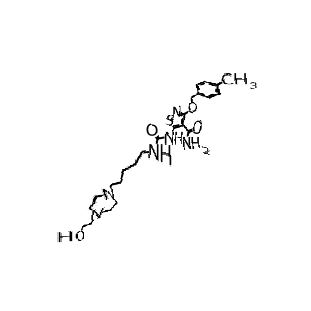 Cc1ccc(COc2nsc(NC(=O)NCCCCCN3CCN(CCO)CC3)c2C(N)=O)cc1